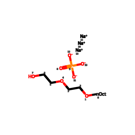 CCCCCCCCOCCOCCO.O=P([O-])([O-])[O-].[Na+].[Na+].[Na+]